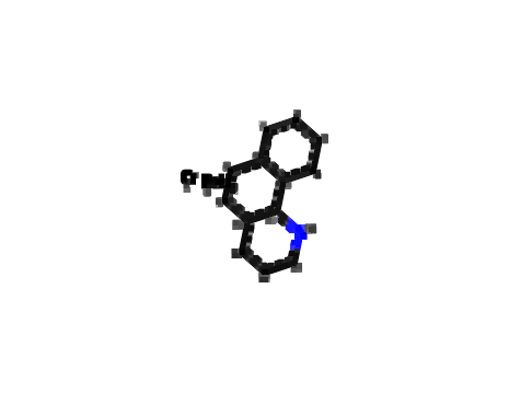 [BeH2].[Cr].c1ccc2c(c1)ccc1cccnc12